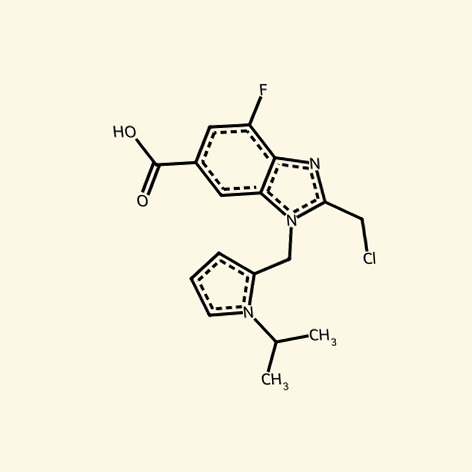 CC(C)n1cccc1Cn1c(CCl)nc2c(F)cc(C(=O)O)cc21